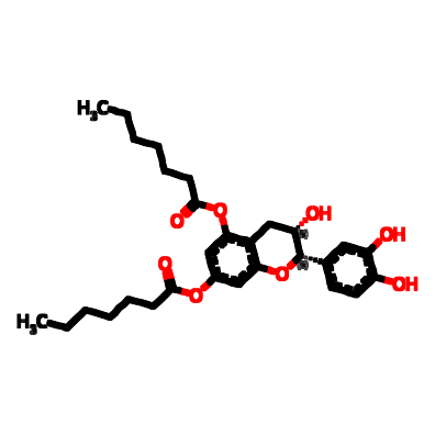 CCCCCCC(=O)Oc1cc(OC(=O)CCCCCC)c2c(c1)O[C@@H](c1ccc(O)c(O)c1)[C@@H](O)C2